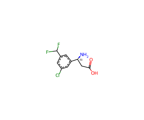 N[C@@H](CC(=O)O)c1cc(Cl)cc(C(F)F)c1